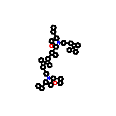 c1ccc(C2(c3ccccc3)c3ccccc3-c3ccc(-c4ccc(N(c5ccc(-c6ccc7ccccc7c6)cc5)c5ccc(-c6ccc(-c7ccc(C8(c9ccccc9)c9ccccc9-c9ccc(-c%10ccc(N(c%11ccc(-c%12cccc%13ccccc%12%13)cc%11)c%11ccc(-c%12cccc%13ccccc%12%13)c%12oc%13ccccc%13c%11%12)cc%10)cc98)cc7)c7ccccc67)c6oc7ccccc7c56)cc4)cc32)cc1